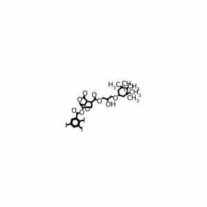 CN1C(C)(C)CC(OCC(O)COC(=O)C2C3OC4C(OC(=O)C42)C3OC(=O)c2cc(I)cc(I)c2I)CC1(C)C